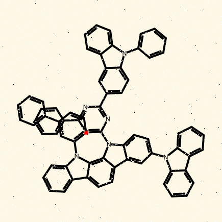 c1ccc(-c2cccc(-n3c4ccccc4c4ccc5c6cc(-n7c8ccccc8c8ccccc87)ccc6n(-c6nc(-c7ccccc7)nc(-c7ccc8c(c7)c7ccccc7n8-c7ccccc7)n6)c5c43)c2)cc1